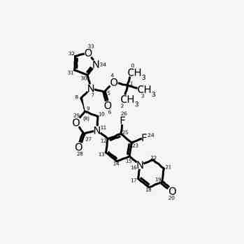 CC(C)(C)OC(=O)N(C[C@H]1CN(c2ccc(N3C=CC(=O)CC3)c(F)c2F)C(=O)O1)c1ccon1